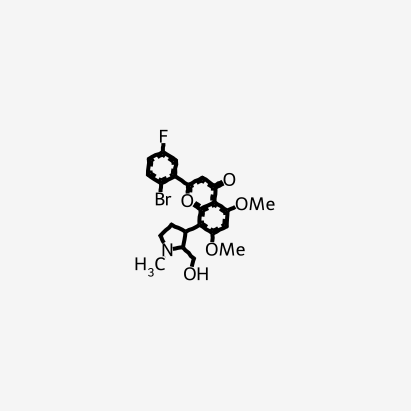 COc1cc(OC)c2c(=O)cc(-c3cc(F)ccc3Br)oc2c1C1CCN(C)C1CO